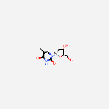 Cc1cn([14C@H]2C[C@H](O)[C@@H](CO)O2)c(=O)[nH]c1=O